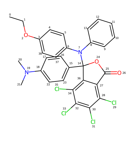 CCOc1ccc(N(c2ccccc2)C2(c3ccc(N(C)C)cc3)OC(=O)c3c(Cl)c(Cl)c(Cl)c(Cl)c32)cc1